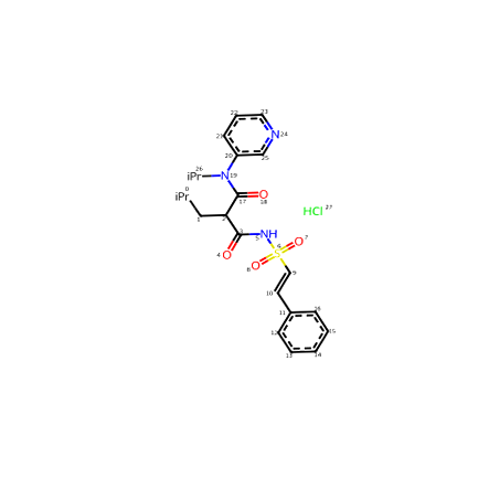 CC(C)CC(C(=O)NS(=O)(=O)C=Cc1ccccc1)C(=O)N(c1cccnc1)C(C)C.Cl